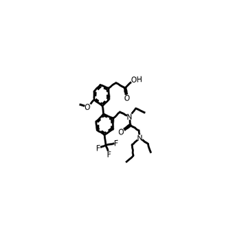 CCCN(CC)CC(=O)N(CC)Cc1cc(C(F)(F)F)ccc1-c1cc(CC(=O)O)ccc1OC